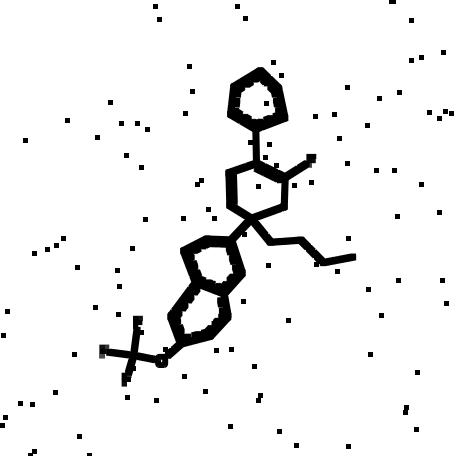 CCCCC1(c2ccc3cc(OC(F)(F)F)ccc3c2)C=CC(c2ccccc2)=C(F)C1